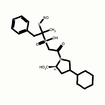 CC(Cc1ccccc1)(SN=O)P(=O)(O)CC(=O)N1CC(C2CCCCC2)C[C@H]1C(=O)O